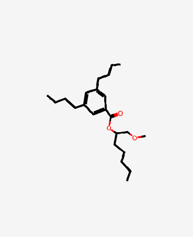 CCCCCC(COC)OC(=O)c1cc(CCCC)cc(CCCC)c1